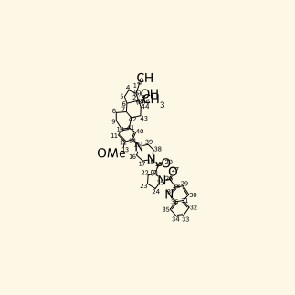 C#C[C@]1(O)CCC2C3CCc4cc(OC)c(N5CCN(C(=O)[C@@H]6CCCN6C(=O)c6ccc7ccccc7n6)CC5)cc4C3CC[C@@]21C